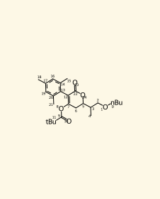 CCCCOCC(C)C1CC(OC(=O)C(C)(C)C)=C(c2c(C)cc(C)cc2C)C(=O)O1